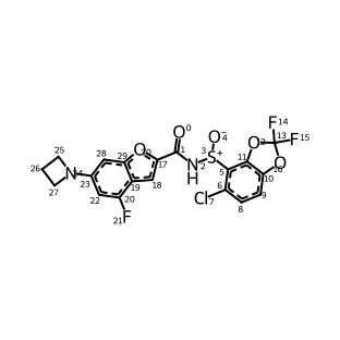 O=C(N[S+]([O-])c1c(Cl)ccc2c1OC(F)(F)O2)c1cc2c(F)cc(N3CCC3)cc2o1